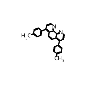 Cc1ccc(-c2ccnc3c2ccc2c(-c4ccc(C)cc4)ccnc23)cc1